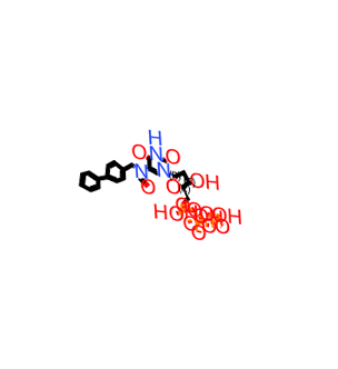 O=CN(Cc1ccc(-c2ccccc2)cc1)c1cn([C@H]2C[C@H](O)[C@@H](COP(=O)(O)OP(=O)(O)OP(=O)(O)O)O2)c(=O)[nH]c1=O